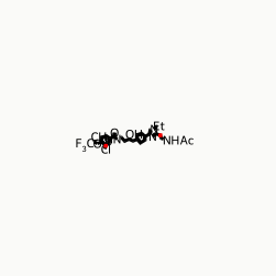 CCn1cc(-c2ccc(CC(O)CCNC(=O)c3ccc(OC(C)C(F)(F)F)c(Cl)c3)cc2)nc1CCNC(C)=O